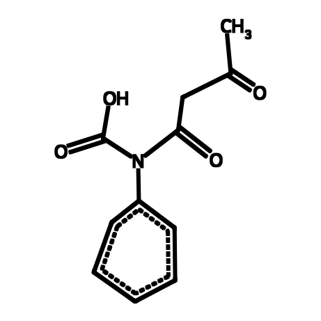 CC(=O)CC(=O)N(C(=O)O)c1ccccc1